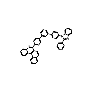 c1ccc(-c2nc3ccccc3n2-c2ccc(-c3cccc(-c4ccc(-c5nc6ccccc6c6c5ccc5ccccc56)cc4)c3)cc2)cc1